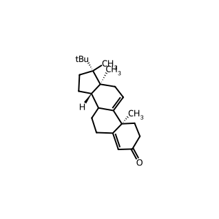 CC(C)(C)[C@@]1(C)CC[C@H]2C3CCC4=CC(=O)CC[C@]4(C)C3=CC[C@@]21C